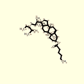 CCCCCC(=O)O[C@H]1CC[C@@]2(C)C(=CC[C@H]3[C@@H]4CC[C@H]([C@H](C)CC[C@@H](CC)C(C)C)[C@@]4(C)CC[C@@H]32)C1